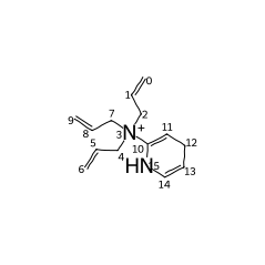 C=CC[N+](CC=C)(CC=C)C1=CCC=CN1